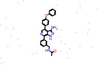 CC(=O)NCc1cccc(-c2ncc(-c3ccc(Oc4ccccc4)cc3)c3c(N)n[nH]c23)c1